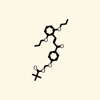 CCCOc1cccc(OCCC)c1C=CC(=O)c1ccc(OCOC(=O)C(C)(C)C)cc1